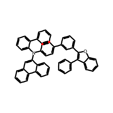 c1ccc(-c2ccccc2N(c2ccc(-c3cccc(-c4oc5ccccc5c4-c4ccccc4)c3)cc2)c2cc3ccccc3c3ccccc23)cc1